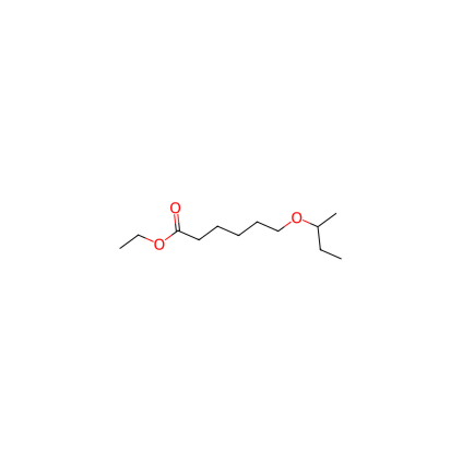 CCOC(=O)CCCCCOC(C)CC